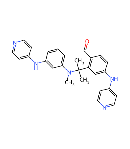 CN(c1cccc(Nc2ccncc2)c1)C(C)(C)c1cc(Nc2ccncc2)ccc1C=O